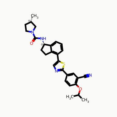 CC(C)Oc1ccc(-c2ncc(-c3cccc4c3CC[C@@H]4NC(=O)N3CC[C@H](C)C3)s2)cc1C#N